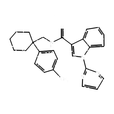 Cc1ccc(C2(CNC(=O)c3cn(-c4ncccn4)c4ccccc34)CCCCC2)cc1